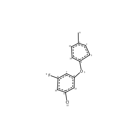 Cc1ccc(Oc2cc(F)cc(Cl)c2)cc1